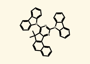 CC1(C)c2ccc3ccccc3c2-c2nc(-n3c4ccccc4c4ccccc43)nc(-n3c4ccccc4c4ccccc43)c21